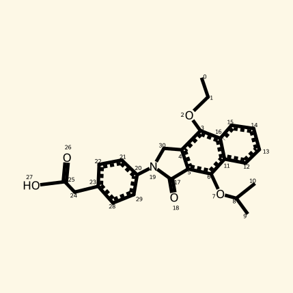 CCOc1c2c(c(OC(C)C)c3ccccc13)C(=O)N(c1ccc(CC(=O)O)cc1)C2